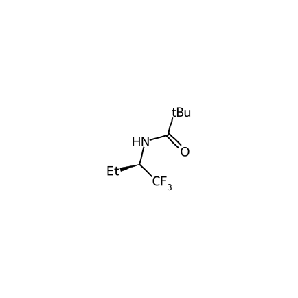 CC[C@@H](NC(=O)C(C)(C)C)C(F)(F)F